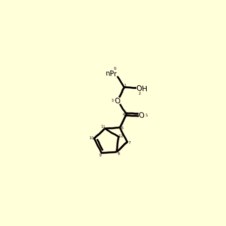 CCCC(O)OC(=O)C1CC2C=CC1C2